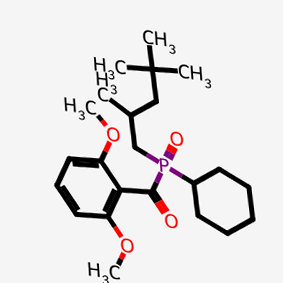 COc1cccc(OC)c1C(=O)P(=O)(CC(C)CC(C)(C)C)C1CCCCC1